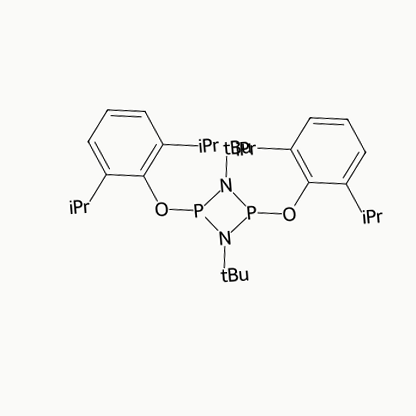 CC(C)c1cccc(C(C)C)c1OP1N(C(C)(C)C)P(Oc2c(C(C)C)cccc2C(C)C)N1C(C)(C)C